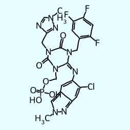 Cn1cnc(Cn2c(=O)n(COP(=O)(O)O)c(=Nc3cc4cn(C)nc4cc3Cl)n(Cc3cc(F)c(F)cc3F)c2=O)n1